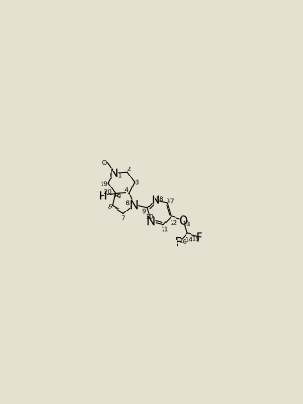 CN1CCC2[C@H](CCN2c2ncc(OC(F)F)cn2)C1